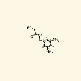 CCC(=O)OCc1cc(N)cc(N)c1